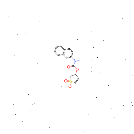 O=C(Nc1ccc2ccccc2c1)OC1C=CS(=O)(=O)C1